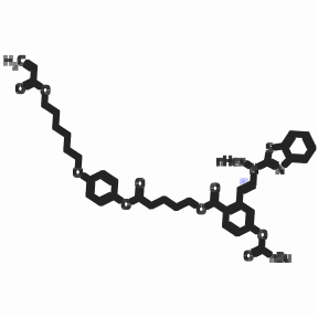 C=CC(=O)OCCCCCCOc1ccc(OC(=O)CCCCOC(=O)c2ccc(OC(=O)CCCC)cc2/C=C/N(CCCCCC)c2nc3ccccc3s2)cc1